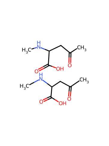 CNC(CC(C)=O)C(=O)O.CNC(CC(C)=O)C(=O)O